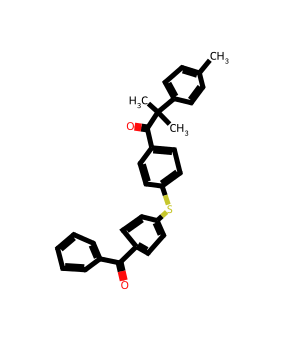 Cc1ccc(C(C)(C)C(=O)c2ccc(Sc3ccc(C(=O)c4ccccc4)cc3)cc2)cc1